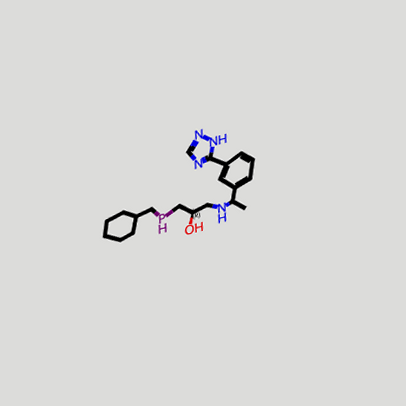 CC(NC[C@@H](O)CPCC1CCCCC1)c1cccc(-c2ncn[nH]2)c1